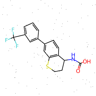 O=C(O)NC1CCSc2cc(-c3cccc(C(F)(F)F)c3)ccc21